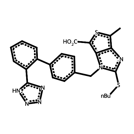 CCCCSc1nc2c(C)sc(C(=O)O)c2n1Cc1ccc(-c2ccccc2-c2nnn[nH]2)cc1